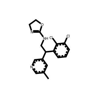 Cc1cncc(C(CNC2=NCCO2)c2cccc(Cl)c2Cl)c1